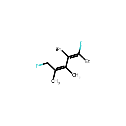 CC/C(F)=C(\C(C)=C(\C)CF)C(C)C